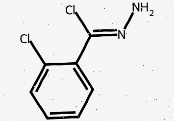 NN=C(Cl)c1ccccc1Cl